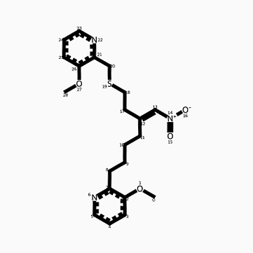 COc1cccnc1CCCC/C(=C\[N+](=O)[O-])CCSCc1ncccc1OC